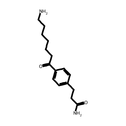 NCCCCCCC(=O)c1ccc(CCC(N)=O)cc1